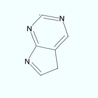 [c]1ncc2c(n1)N=CC2